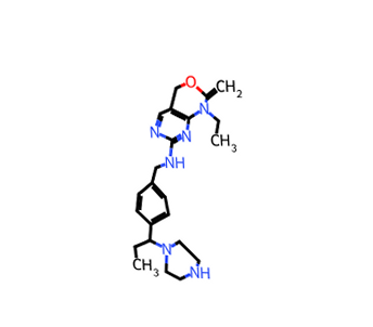 C=C1OCc2cnc(NCc3ccc(C(CC)N4CCNCC4)cc3)nc2N1CC